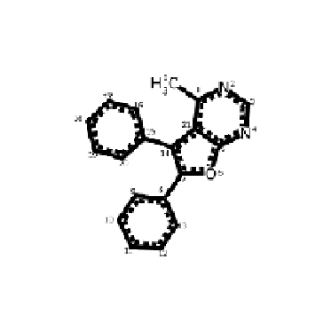 Cc1ncnc2oc(-c3ccccc3)c(-c3ccccc3)c12